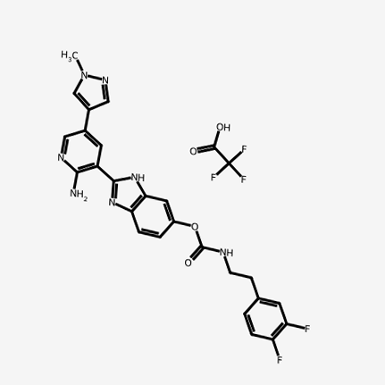 Cn1cc(-c2cnc(N)c(-c3nc4ccc(OC(=O)NCCc5ccc(F)c(F)c5)cc4[nH]3)c2)cn1.O=C(O)C(F)(F)F